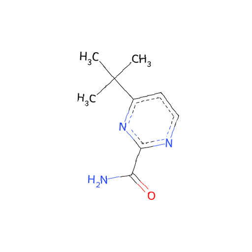 CC(C)(C)c1ccnc(C(N)=O)n1